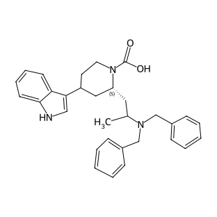 CC(C[C@@H]1CC(c2c[nH]c3ccccc23)CCN1C(=O)O)N(Cc1ccccc1)Cc1ccccc1